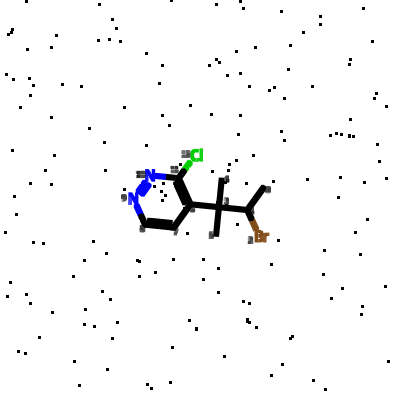 CC(Br)C(C)(C)c1ccnnc1Cl